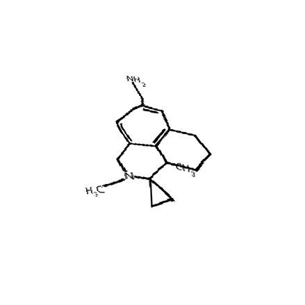 CN1Cc2cc(N)cc3c2C(C)(CCC3)C12CC2